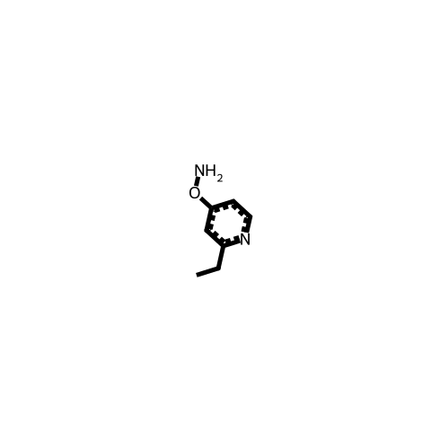 CCc1cc(ON)ccn1